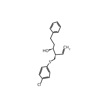 C=C[C@@H](CSc1ccc(Cl)cc1)[C@@H](O)CCc1ccccc1